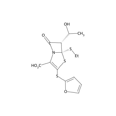 CCS[C@]12SC(Sc3ccco3)=C(C(=O)O)N1C(=O)[C@@H]2C(C)O